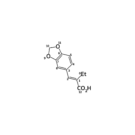 CC/C(=C\c1ccc2c(c1)OCO2)C(=O)O